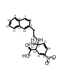 NC1(NCCc2ccc3ccccc3c2)C=CC([N+](=O)[O-])=CC1C(=O)O